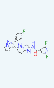 O=C(Nc1cn2nc(-c3c(-c4ccc(F)cc4)nn4c3CCC4)ccc2n1)c1cc(F)nc(F)c1